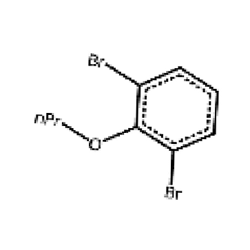 CCCOc1c(Br)cccc1Br